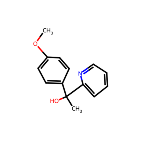 COc1ccc(C(C)(O)c2ccccn2)cc1